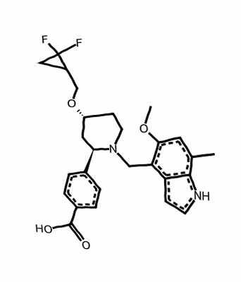 COc1cc(C)c2[nH]ccc2c1CN1CC[C@@H](OCC2CC2(F)F)C[C@@H]1c1ccc(C(=O)O)cc1